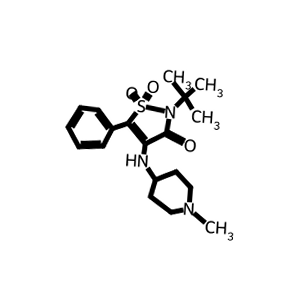 CN1CCC(NC2=C(c3ccccc3)S(=O)(=O)N(C(C)(C)C)C2=O)CC1